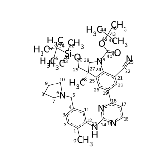 Cc1ccc(CN2CCCC2)cc1Nc1nccc(-c2cc(C#N)c3c(c2)[C@@](C)(CO[Si](C)(C)C(C)(C)C)CN3C(=O)OC(C)(C)C)n1